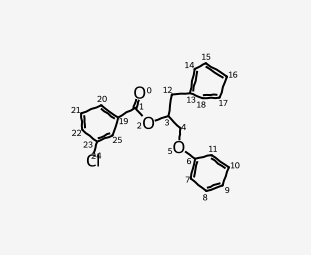 O=C(OC(COc1ccccc1)Cc1ccccc1)c1cccc(Cl)c1